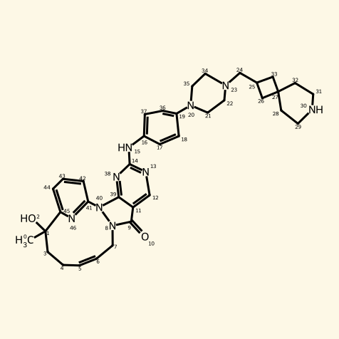 CC1(O)CCC=CCn2c(=O)c3cnc(Nc4ccc(N5CCN(CC6CC7(CCNCC7)C6)CC5)cc4)nc3n2-c2cccc1n2